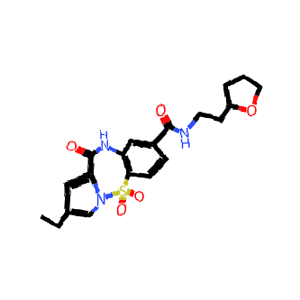 CCc1cc2n(c1)S(=O)(=O)c1ccc(C(=O)NCCC3CCCO3)cc1NC2=O